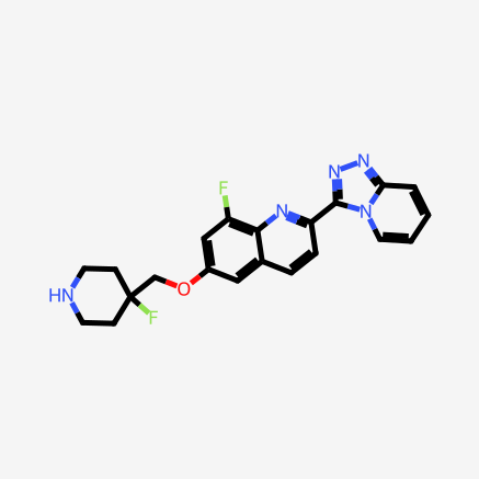 Fc1cc(OCC2(F)CCNCC2)cc2ccc(-c3nnc4ccccn34)nc12